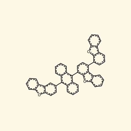 c1ccc2c(c1)oc1ccc(-c3c4ccccc4c(-c4ccc(-c5cccc6c5oc5ccccc56)c5c4oc4ccccc45)c4ccccc34)cc12